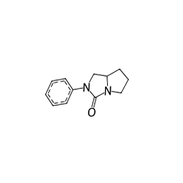 O=C1N(c2ccccc2)CC2CCCN12